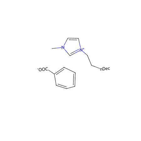 CCCCCCCCCCCC[n+]1ccn(C)c1.O=C([O-])c1ccccc1